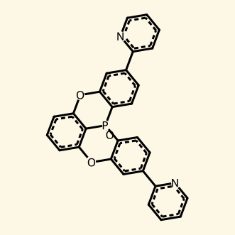 O=P12c3ccc(-c4ccccn4)cc3Oc3cccc(c31)Oc1cc(-c3ccccn3)ccc12